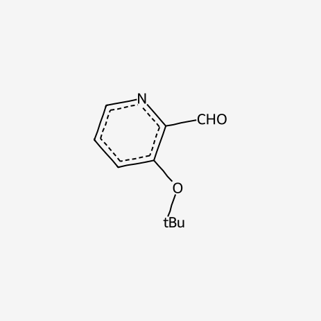 CC(C)(C)Oc1cccnc1C=O